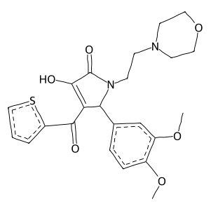 COc1ccc(C2C(C(=O)c3cccs3)=C(O)C(=O)N2CCN2CCOCC2)cc1OC